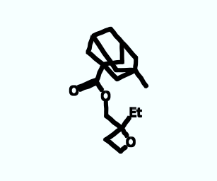 CCC1(COC(=O)C23CC4CC(CC(C)(C4)C2)C3)CCO1